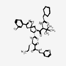 CCC[C@H](NC(=O)[C@@H]1C[C@]2(CC(c3cccc(Cl)c3)=NO2)CN1C(=O)[C@@H](NC(=O)CC1CCCCC1)C(C)(C)C)C(=O)C(=O)NCc1cccnc1